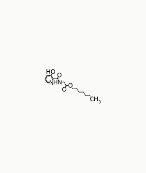 CCCCCCCOC(=O)CNC(=O)c1ncccc1O